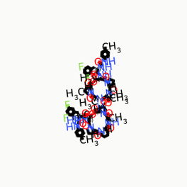 Cc1ccc(NC(=O)N[C@@H](Cc2cc(F)cc(F)c2)C(=O)N[C@@H]2C(=O)N3CCC[C@H]3C(=O)N(C)[C@@H]([C@H](C)OC[C@@H]3C[C@H]4C(=O)O[C@@H](C)[C@H](NC(=O)[C@H](Cc5cc(F)cc(F)c5)NC(=O)Nc5ccc(C)cc5)C(=O)N5CCC[C@H]5C(=O)N5CCCC[C@H]5C(=O)N[C@@H](C)C(=O)N4C3)C(=O)N[C@@H](C)C(=O)N3C[C@H](C)C[C@H]3C(=O)O[C@H]2C)cc1